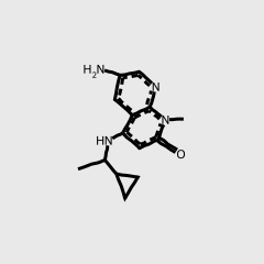 CC(Nc1cc(=O)n(C)c2ncc(N)cc12)C1CC1